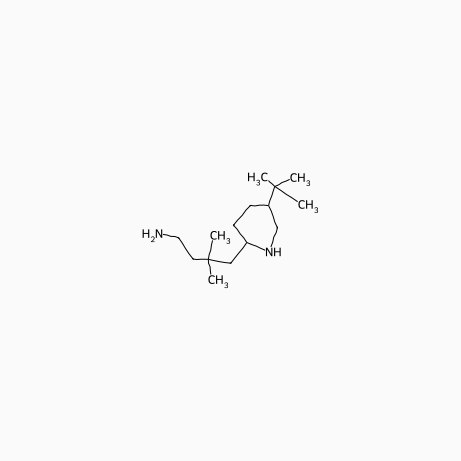 CC(C)(CCN)CC1CCC(C(C)(C)C)CN1